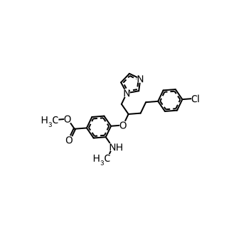 CNc1cc(C(=O)OC)ccc1OC(CCc1ccc(Cl)cc1)Cn1ccnc1